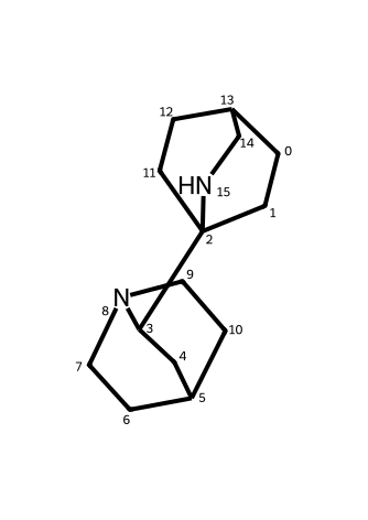 C1CC2(C3CC4CCN3CC4)CCC1CN2